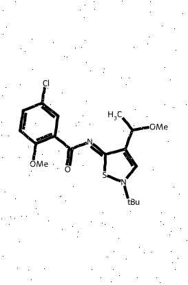 COc1ccc(Cl)cc1C(=O)/N=c1\sn(C(C)(C)C)cc1C(C)OC